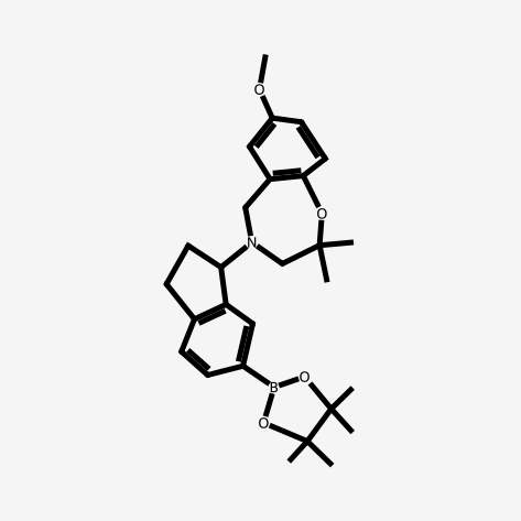 COc1ccc2c(c1)CN(C1CCc3ccc(B4OC(C)(C)C(C)(C)O4)cc31)CC(C)(C)O2